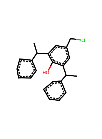 CC(c1ccccc1)c1cc(CCl)cc(C(C)c2ccccc2)c1O